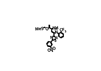 C=C(OCSC)C(=N)/C=C(\Nc1ccccc1C(F)(F)F)c1nsc(-c2cccc(S(C)(=O)=O)c2)n1